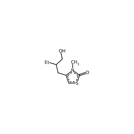 CCC(CO)Cc1csc(=O)n1C